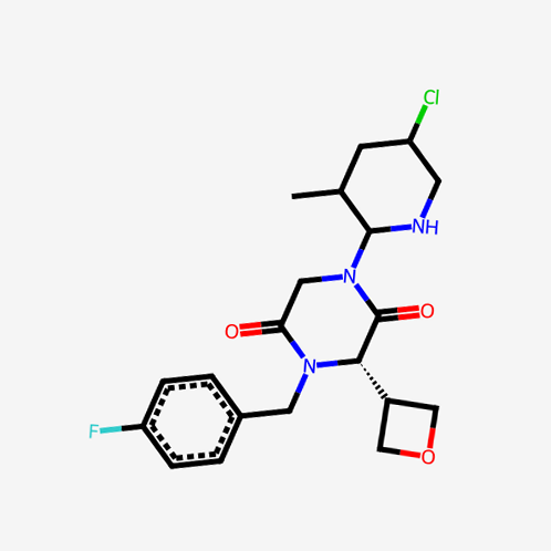 CC1CC(Cl)CNC1N1CC(=O)N(Cc2ccc(F)cc2)[C@@H](C2COC2)C1=O